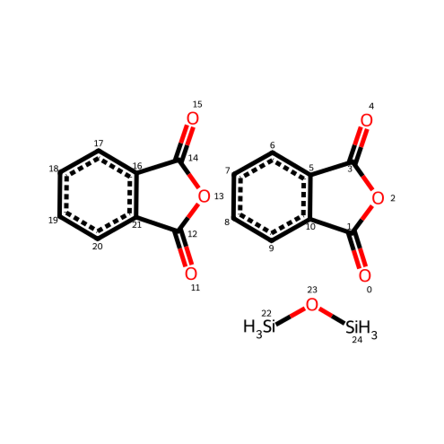 O=C1OC(=O)c2ccccc21.O=C1OC(=O)c2ccccc21.[SiH3]O[SiH3]